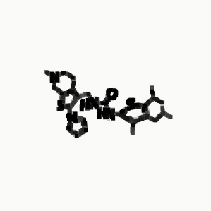 Cc1c(NC(=O)NCc2c(-n3cccc3)sc3c2CCN(C)C3)sc2c1CC(C)CC2C